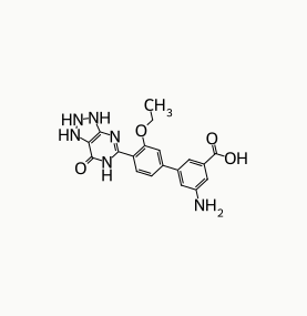 CCOc1cc(-c2cc(N)cc(C(=O)O)c2)ccc1-c1nc2c(c(=O)[nH]1)NNN2